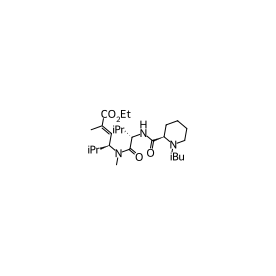 CCOC(=O)/C(C)=C/[C@H](C(C)C)N(C)C(=O)[C@@H](NC(=O)[C@H]1CCCCN1C(C)CC)C(C)C